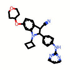 N#CC1c2ccc(OC3CCOCC3)cc2N(C2CCC2)C1c1ccc(Nc2ncccn2)cc1